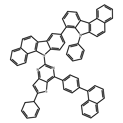 C1=CCC(c2cc3nc(-n4c5ccc(-c6cccc7c8c9ccccc9ccc8n(-c8ccccc8)c67)cc5c5ccc6ccccc6c54)nc(-c4ccc(-c5cccc6ccccc56)cc4)c3s2)C=C1